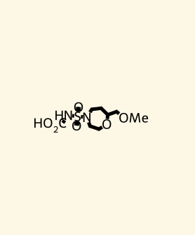 COCC1CCN(S(=O)(=O)NC(=O)O)CCO1